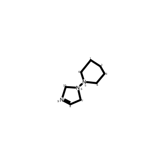 [CH]1CCCCN1N1CC=NC1